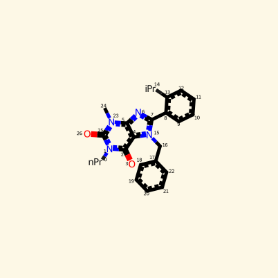 CCCn1c(=O)c2c(nc(-c3ccccc3C(C)C)n2Cc2ccccc2)n(C)c1=O